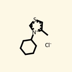 Cc1csc[n+]1C1CCCCC1.[Cl-]